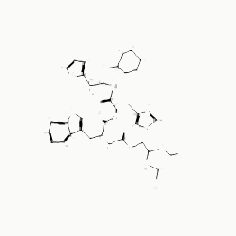 CCOC(CNC(=O)C[C@@H](Cc1coc2ccccc12)C(=O)N[C@@H](Cc1c[nH]cn1)C(=O)N[C@@H](CC1CCCCC1)[C@@H](O)c1ccco1)OCC